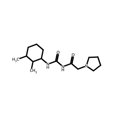 CC1CCCC(NC(=O)NC(=O)CN2CCCC2)C1C